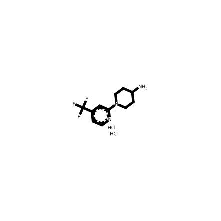 Cl.Cl.NC1CCN(c2cc(C(F)(F)F)ccn2)CC1